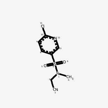 CN(CC#N)S(=O)(=O)c1ccc(Cl)nc1